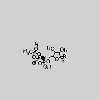 CP(=O)(O)OP(=O)(O)OP(=O)(O)OCC1OC2(B=B2)C(O)C1O